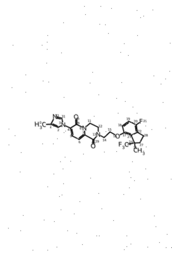 Cc1cn(-c2ccc3n(c2=O)CCN(CCOc2ccc(F)c4c2C(C)(C(F)(F)F)CC4)C3=O)cn1